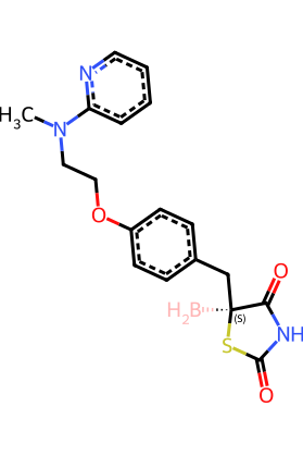 B[C@@]1(Cc2ccc(OCCN(C)c3ccccn3)cc2)SC(=O)NC1=O